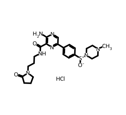 CN1CCN([S+]([O-])c2ccc(-c3cnc(N)c(C(=O)NCCCN4CCCC4=O)n3)cc2)CC1.Cl